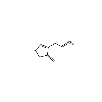 C=CCC1=C[CH]CC1=O